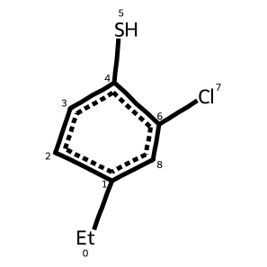 CCc1ccc(S)c(Cl)c1